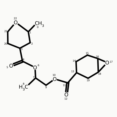 CC1CC(C(=O)OC(C)COC(=O)C2CCC3OC3C2)CCO1